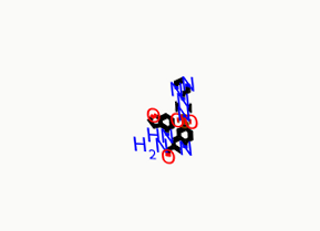 NC(=O)c1cnc2ccc(S(=O)(=O)N3CCN(c4cnccn4)CC3)cc2c1Nc1cccc2c1CCO2